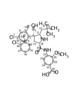 C#C[C@]1(c2ccc(Cl)cc2F)C(CC(C)(C)C)N[C@@H](C(=O)Nc2ccc(C(=O)O)cc2OC)[C@@H]1c1cccc(Cl)c1F